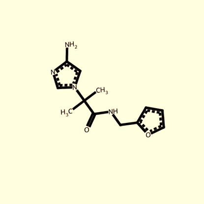 CC(C)(C(=O)NCc1ccco1)n1cnc(N)c1